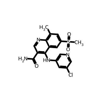 Cc1cc(S(C)(=O)=O)cc2c(Nc3cncc(Cl)c3)c(C(N)=O)cnc12